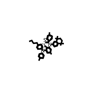 CCCCc1ccc(N(c2ccc(C)cc2)c2cc(C)cc(N(c3ccc4c(c3)C(C)(C)CCC4(C)C)c3csc4cc(C)ccc34)c2Cl)cc1